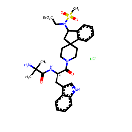 CCOC(=O)CN(C1CC2(CCN(C(=O)[C@@H](Cc3c[nH]c4ccccc34)NC(=O)C(C)(C)N)CC2)c2ccccc21)S(C)(=O)=O.Cl